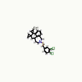 CCc1ccc2c3c1C1(CC1)C1(CC1)CC3CCN(SCc1ccc(Cl)c(Cl)c1)C2